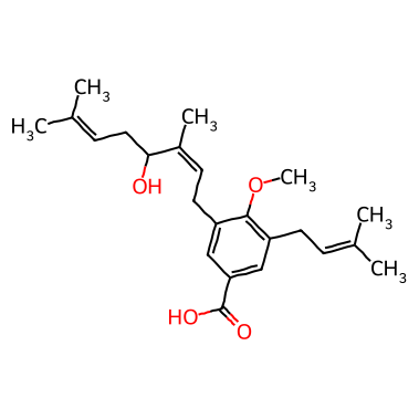 COc1c(CC=C(C)C)cc(C(=O)O)cc1CC=C(C)C(O)CC=C(C)C